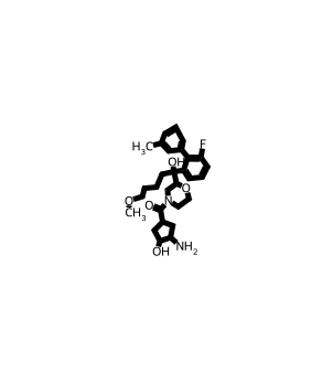 COCCCCC(O)(c1cccc(F)c1-c1cccc(C)c1)C1CN(C(=O)C2CC(N)C(O)C2)CCO1